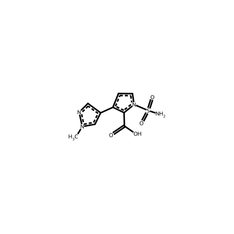 Cn1cc(-c2ccn(S(N)(=O)=O)c2C(=O)O)cn1